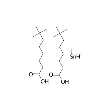 CC(C)(C)CCCCCC(=O)O.CC(C)(C)CCCCCC(=O)O.[CH3][SnH]